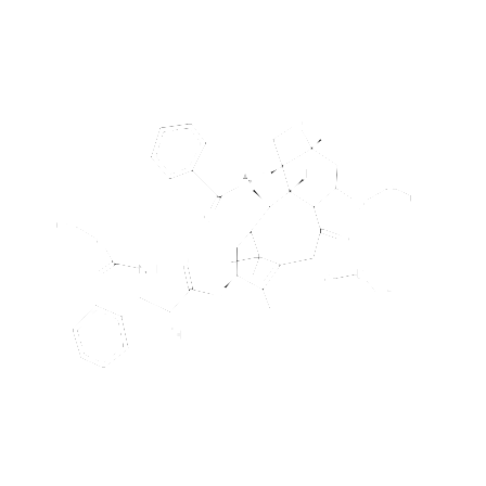 CCCBOC1C[C@H]2OC[C@@]2(OC(C)=O)[C@H]2[C@H](OC(=O)c3ccccc3)[C@]3(O)C[C@H](OC(=O)[C@H](O)[C@@H](NC(=O)OC(C)(C)C)c4ccccc4)C(C)=C([C@@H](OBCCC)C(=O)[C@]12C)C3(C)C